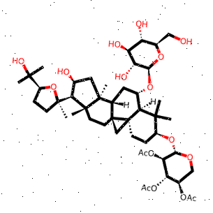 CC(=O)O[C@@H]1[C@@H](OC(C)=O)[C@H](O[C@H]2CC[C@]34C[C@]35CC[C@]3(C)[C@@H]([C@@]6(C)CC[C@@H](C(C)(C)O)O6)[C@@H](O)C[C@@]3(C)[C@@H]5C[C@H](O[C@@H]3O[C@H](CO)[C@@H](O)[C@H](O)[C@H]3O)[C@H]4C2(C)C)OC[C@H]1OC(C)=O